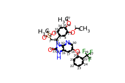 CCOc1cc([C@H](CS(C)(=O)=O)n2c(=O)[nH]c3cc(Oc4ccccc4C(F)(F)F)cnc32)ccc1OC